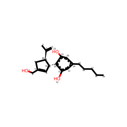 C=C(C)[C@@H]1CC(CO)=C[C@H]1c1c(O)cc(CCCCC)cc1O